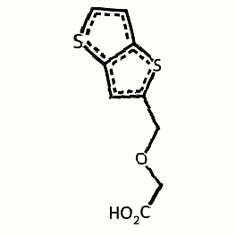 O=C(O)COCc1cc2sccc2s1